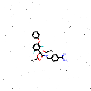 CCO[C@@](OC(C)=O)(C(=O)NCc1ccc(C(=N)N)cc1)c1c(F)ccc(Oc2ccccc2)c1F